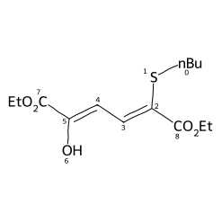 CCCCS/C(=C\C=C(/O)C(=O)OCC)C(=O)OCC